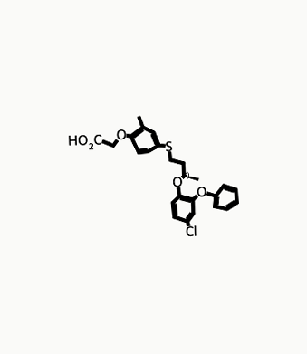 Cc1cc(SCC[C@@H](C)Oc2ccc(Cl)cc2Oc2ccccc2)ccc1OCC(=O)O